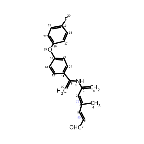 C=C(/C=C(C)/C=C/C=O)NC(=C)c1ccc(Oc2ccc(F)cc2)cc1